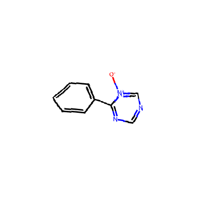 [O-][n+]1cncnc1-c1ccccc1